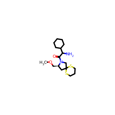 COC[C@@H]1CC2(CN1C(=O)C(N)C1CCCCC1)SCCCS2